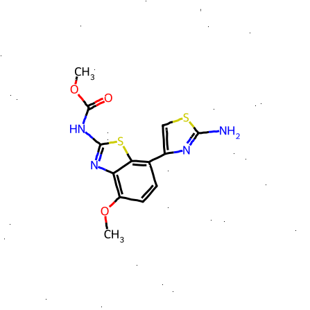 COC(=O)Nc1nc2c(OC)ccc(-c3csc(N)n3)c2s1